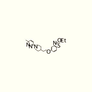 CCOc1nc2cc(OCCC3CCN(c4ccc(C)nn4)CC3)ccc2s1